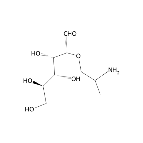 CC(N)CO[C@@H](C=O)[C@@H](O)[C@H](O)[C@H](O)CO